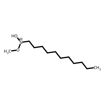 CCCCCCCCCCC[SiH](O)OC